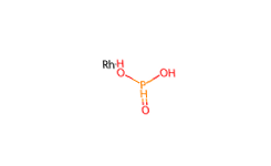 O=[PH](O)O.[Rh]